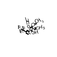 CCO[C@H]1C(O)N(c2cc(C(F)(F)F)ccn2)C(O)N1C